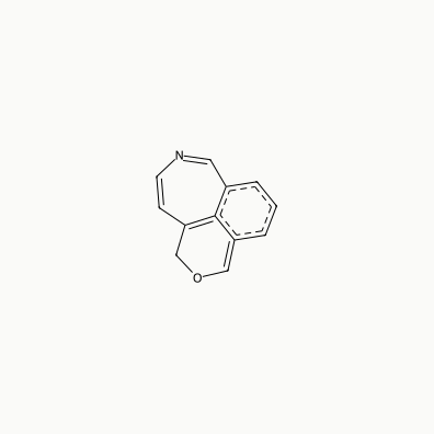 C1=CC2=c3c(cccc3=COC2)C=N1